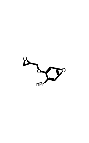 CCCc1cc2c(cc1OCC1CO1)O2